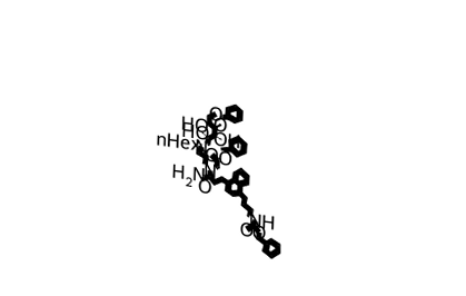 CCCCCCN(CCCN(CC(=O)OCc1ccccc1)C(CCc1ccc(CCCCNC(=O)OCc2ccccc2)c2ccccc12)C(N)=O)C[C@H](O)[C@@H](O)[C@@H]1OC(c2ccccc2)OC[C@H]1O